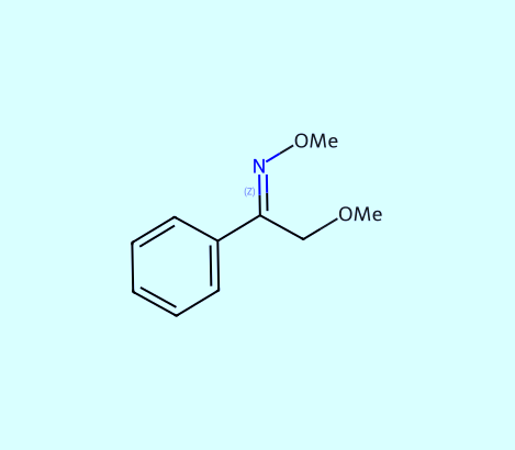 COC/C(=N\OC)c1ccccc1